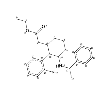 CCOC(=O)CC1CCCC(N[C@@H](C)c2ccccc2)C1c1ccccc1F